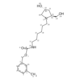 Cc1cccc(COC(=O)NCCCCCCN2C[C@H](O)C[C@H]2CO)c1